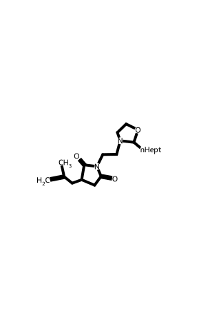 C=C(C)CC1CC(=O)N(CCN2CCOC2CCCCCCC)C1=O